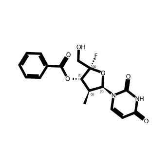 C[C@@H]1[C@H](n2ccc(=O)[nH]c2=O)O[C@](F)(CO)[C@H]1OC(=O)c1ccccc1